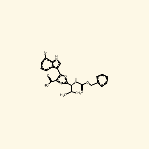 CC(C)[C@H](NC(=O)OCc1ccccc1)c1nc(C(=O)O)c(-c2c[nH]c3c(Br)cccc23)o1